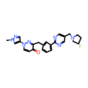 Cn1cc(-n2ccc(=O)c(Cc3cccc(-c4ncc(CN5CCC(F)C5)cn4)c3)n2)cn1